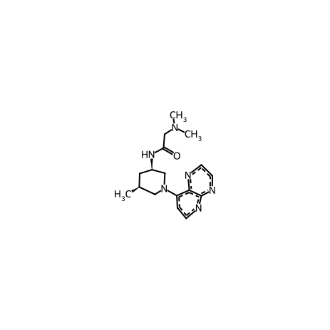 C[C@H]1C[C@@H](NC(=O)CN(C)C)CN(c2ccnc3nccnc23)C1